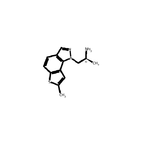 Cc1cc2c(ccc3cnn(C[C@H](C)N)c32)s1